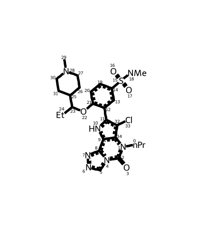 CCCn1c(=O)n2cnnc2c2[nH]c(-c3cc(S(=O)(=O)NC)ccc3OC(CC)C3CCN(C)CC3)c(Cl)c21